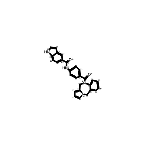 O=C(Nc1ccc(C(=O)N2Cc3cccn3Cc3ccccc32)cc1)c1ccc2[nH]ccc2c1